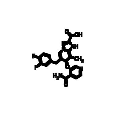 Cc1c(=O)c(Cc2ccc(F)c(F)c2)cn2nc(C(=O)O)[nH]c12.NC(=O)c1ccncc1